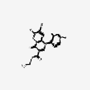 CCOC(=O)c1cn(-c2ccc(F)cc2F)c2cc(F)c(F)nc2c1=O